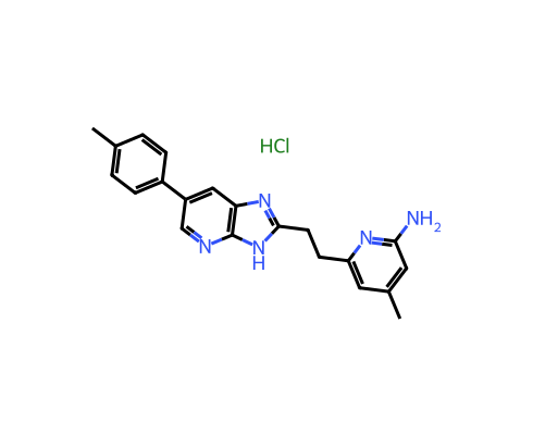 Cc1ccc(-c2cnc3[nH]c(CCc4cc(C)cc(N)n4)nc3c2)cc1.Cl